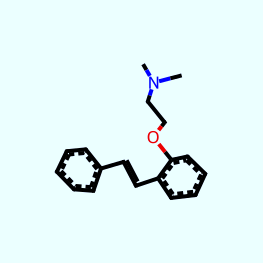 CN(C)CCOc1ccccc1/C=C/c1ccccc1